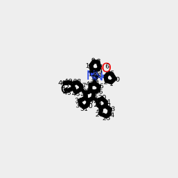 c1ccc2c(c1)Oc1cccc3nc(-c4ccc5c(-c6ccc7ccccc7c6)c6ccccc6c(-c6ccc7ccccc7c6)c5c4)n-2c13